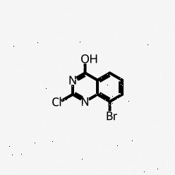 Oc1nc(Cl)nc2c(Br)cccc12